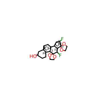 C[C@]12C(C[C@@H](F)C13OCCO3)C1CC=C3C[C@@H](O)CC[C@]3(C)C1C1(OCCO1)C2F